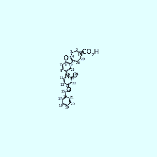 O=C(O)N1CCc2oc3ccc(-n4ccc(OCc5ccccc5)cc4=O)cc3c2CC1